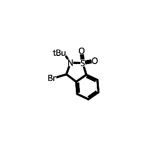 CC(C)(C)N1C(Br)c2ccccc2S1(=O)=O